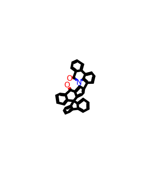 O=C1c2ccccc2C2(c3ccccc3-c3ccccc32)c2ccc3c4cccc5c6ccccc6c(=O)n(c3c21)c54